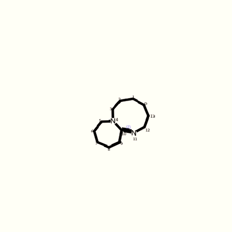 C1CCCN2CCCCC/C2=N/CC1